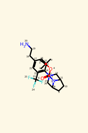 CC(C)(C)OC(=O)N1C2CCC1CN(c1ccc(CCN)cc1C(F)(F)F)C2